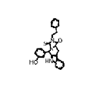 O=C1C2Cc3c([nH]c4ccccc34)C(c3cccc(O)c3)N2C(=S)N1CCc1ccccc1